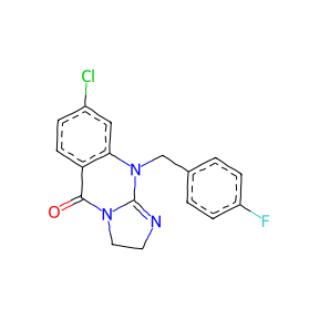 O=C1c2ccc(Cl)cc2N(Cc2ccc(F)cc2)C2=NCCN12